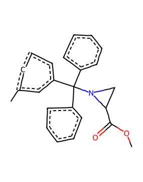 COC(=O)C1CN1C(c1ccccc1)(c1ccccc1)c1cccc(C)c1